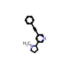 CN1CCCC1c1cncc(C#Cc2ccccc2)c1